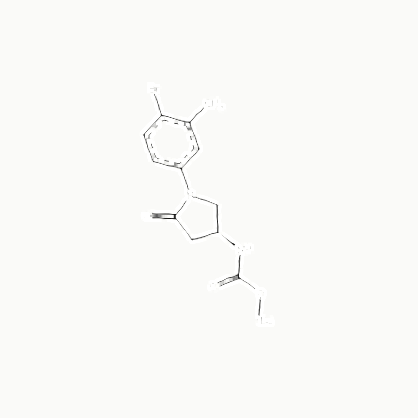 Cc1cc(N2C[C@@H](NC(=O)OC(C)(C)C)CC2=O)ccc1Br